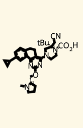 CN1CCC[C@H]1COc1nc2c(c(N3CCN(C(=O)O)[C@@](CC#N)(C(C)(C)C)C3)n1)CCc1ccc(C3CC3)cc1-2